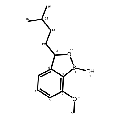 COc1cccc2c1B(O)OC2CCC(C)C